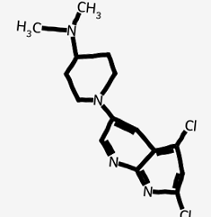 CN(C)C1CCN(c2cnc3nc(Cl)cc(Cl)c3c2)CC1